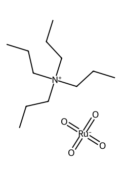 CCC[N+](CCC)(CCC)CCC.[O]=[Ru-](=[O])(=[O])=[O]